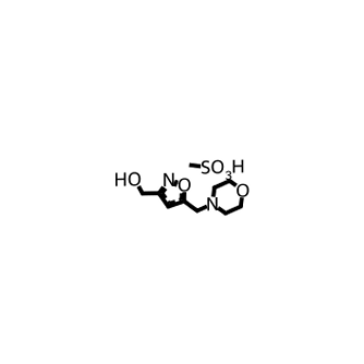 CS(=O)(=O)O.OCc1cc(CN2CCOCC2)on1